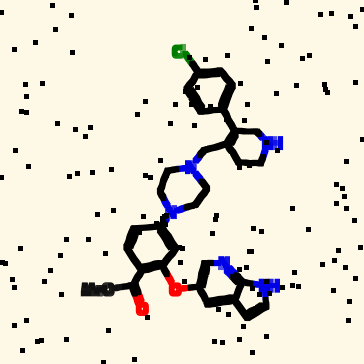 COC(=O)c1ccc(N2CCN(CC3=C(c4ccc(Cl)cc4)CNCC3)CC2)cc1Oc1cnc2[nH]ccc2c1